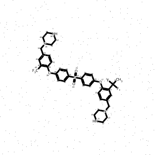 CC(F)(F)c1cc(CN2CCNCC2)ccc1Oc1ccc(S(=O)(=O)c2ccc(Oc3ccc(CN4CCNCC4)cc3C(F)(F)F)cc2)cc1